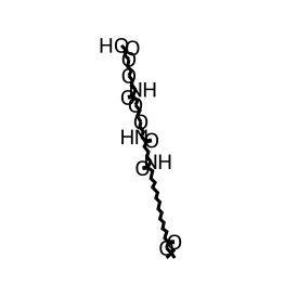 CC(C)(C)OC(=O)CCCCCCCCCCCCCCC(=O)NCCCC(=O)NCCOCCOCC(=O)NCCOCCOCC(=O)O